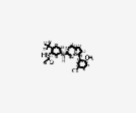 COc1ccc(Cl)cc1-c1ccc2cnc(Nc3ccc(C(C)(C)C)c(NC(C)=O)c3)nn12